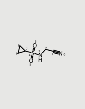 N#CCNS(=O)(=O)C1CC1